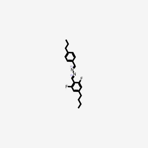 CCCCc1cc(F)c(/C=N/N=C/c2ccc(CCC)cc2)c(F)c1